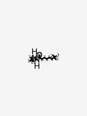 CC(C)(C)CCCCCC(=O)NNC(C)(C)C